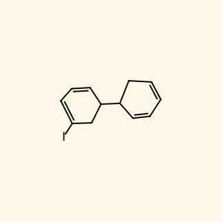 IC1=CC=CC(C2C=CC=CC2)C1